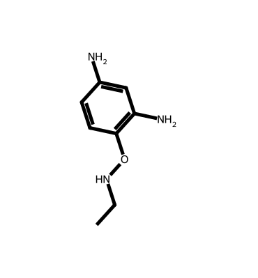 CCNOc1ccc(N)cc1N